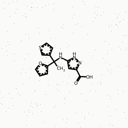 CC(Nc1cc(C(=O)O)n[nH]1)(c1ccsc1)c1ccco1